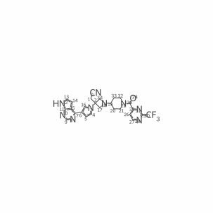 N#CCC1(n2ccc(-c3ncnc4[nH]ccc34)c2)CN(C2CCN(C(=O)c3ccnc(C(F)(F)F)n3)CC2)C1